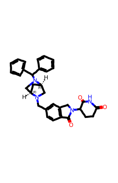 O=C1CCC(N2Cc3cc(CN4C[C@H]5C[C@@H]4CN5C(c4ccccc4)c4ccccc4)ccc3C2=O)C(=O)N1